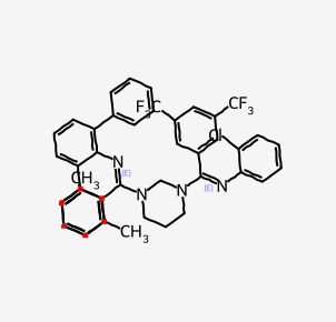 Cc1cccc(C)c1/C(=N\c1c(-c2ccccc2)cccc1-c1ccccc1)N1CCCN(/C(=N/c2ccccc2Cl)c2cc(C(F)(F)F)cc(C(F)(F)F)c2)C1